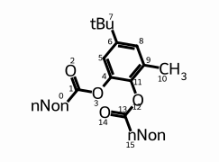 CCCCCCCCCC(=O)Oc1cc(C(C)(C)C)cc(C)c1OC(=O)CCCCCCCCC